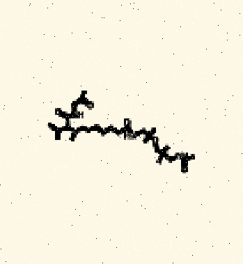 CC(=O)CNC(=O)C(C(C)C)N(C)CCCCCCC(=O)NCC(C)(C)OCC(C)(C)CNC(C)=O